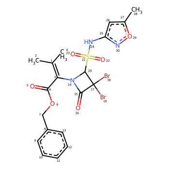 CC(C)=C(C(=O)OCc1ccccc1)N1C(=O)C(Br)(Br)C1S(=O)(=O)Nc1cc(C)on1